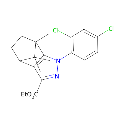 CCOC(=O)c1nn(-c2ccc(Cl)cc2Cl)c2c1C1CCC2(C)C1(C)C